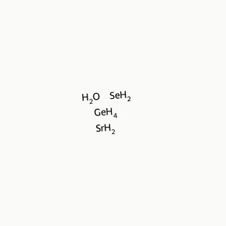 O.[GeH4].[SeH2].[SrH2]